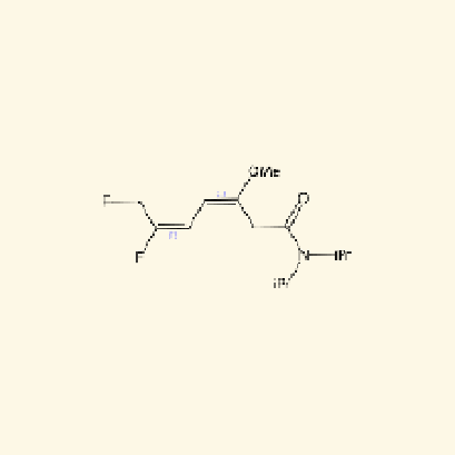 CO/C(=C/C=C(/F)CF)CC(=O)N(C(C)C)C(C)C